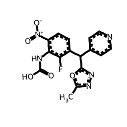 Cc1nnc(C(c2ccncc2)c2ccc([N+](=O)[O-])c(NC(=O)O)c2F)o1